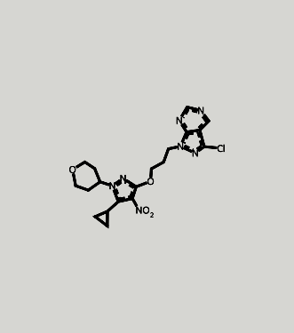 O=[N+]([O-])c1c(OCCCn2nc(Cl)c3cncnc32)nn(C2CCOCC2)c1C1CC1